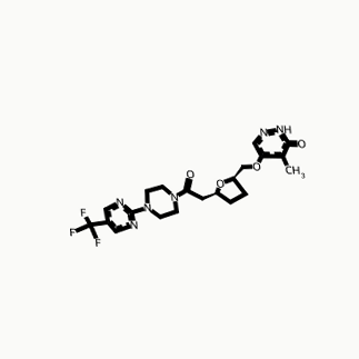 Cc1c(OC[C@H]2CC[C@@H](CC(=O)N3CCN(c4ncc(C(F)(F)F)cn4)CC3)O2)cn[nH]c1=O